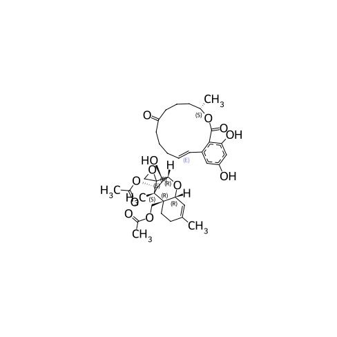 CC(=O)OC[C@]12CCC(C)=C[C@H]1O[C@@H]1[C@H](O)[C@@H](OC(C)=O)[C@@]2(C)C12CO2.C[C@H]1CCCC(=O)CCC/C=C/c2cc(O)cc(O)c2C(=O)O1